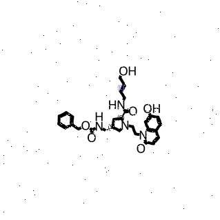 O=C(NC[C@@H]1C[C@@H](C(=O)NC/C=C/CO)N(CCn2c(=O)ccc3ccc(O)cc32)C1)OCc1ccccc1